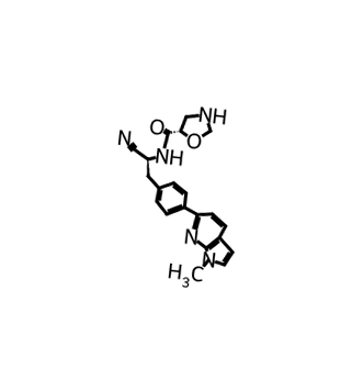 Cn1ccc2ccc(-c3ccc(C[C@@H](C#N)NC(=O)[C@@H]4CNCO4)cc3)nc21